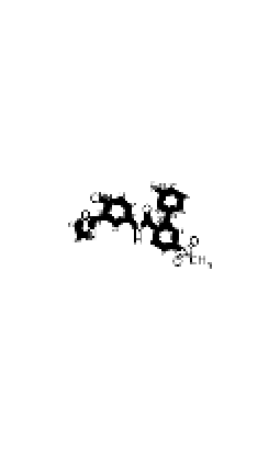 CS(=O)(=O)c1ccc(C(=O)Nc2ccc(Cl)c(-c3ncco3)c2)c(-c2cccc(F)c2)c1